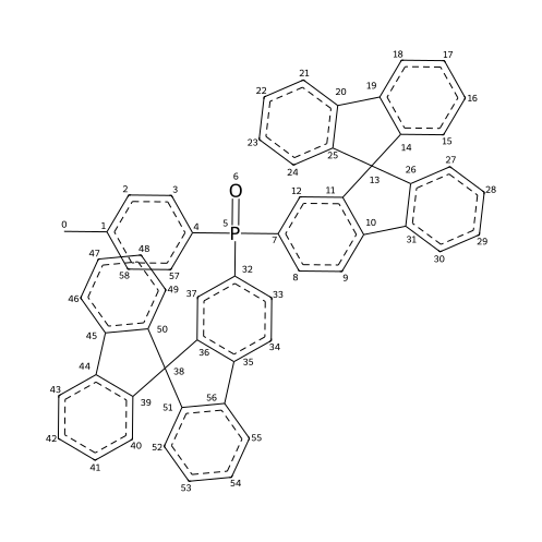 Cc1ccc(P(=O)(c2ccc3c(c2)C2(c4ccccc4-c4ccccc42)c2ccccc2-3)c2ccc3c(c2)C2(c4ccccc4-c4ccccc42)c2ccccc2-3)cc1